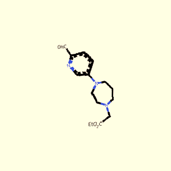 CCOC(=O)CN1CCCN(c2ccc(C=O)nc2)CC1